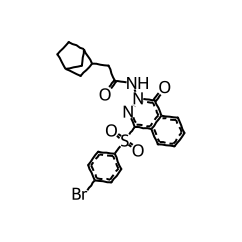 O=C(CC1CC2CCC1C2)Nn1nc(S(=O)(=O)c2ccc(Br)cc2)c2ccccc2c1=O